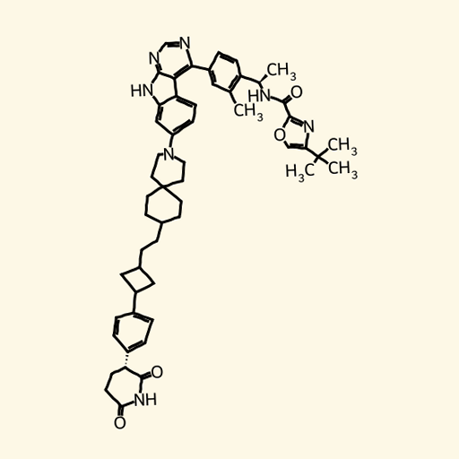 Cc1cc(-c2ncnc3[nH]c4cc(N5CCC6(CCC(CCC7CC(c8ccc([C@H]9CCC(=O)NC9=O)cc8)C7)CC6)CC5)ccc4c23)ccc1[C@@H](C)NC(=O)c1nc(C(C)(C)C)co1